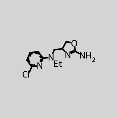 CCN(CC1COC(N)=N1)c1cccc(Cl)n1